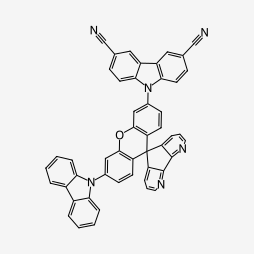 N#Cc1ccc2c(c1)c1cc(C#N)ccc1n2-c1ccc2c(c1)Oc1cc(-n3c4ccccc4c4ccccc43)ccc1C21c2cccnc2-c2ncccc21